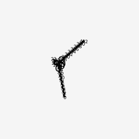 CCCCCCCCCCCCCCCOC(=O)C1CC=C(C)CC1C(=O)OCCCCCCCCCCCCCCC